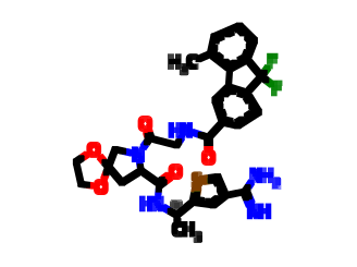 Cc1cccc2c1-c1cc(C(=O)NCC(=O)N3CC4(CC3C(=O)N[C@H](C)c3cc(C(=N)N)cs3)OCCO4)ccc1C2(F)F